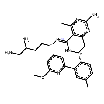 COc1cccc(-c2cc(F)ccc2[C@H]2Cc3nc(N)nc(C)c3/C(=N/OCCC(N)CN)N2)n1